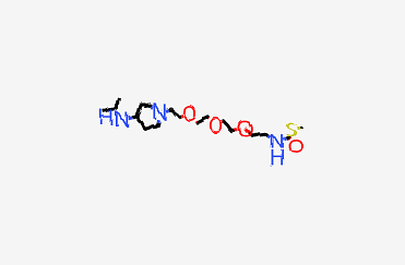 CSC(=O)NCCOCCOCCOCCN1CCC(NC(C)C)CC1